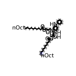 CCCCCCCCC=CCCCCCCCC(=O)OCC(O)CNc1cc(Nc2ccccc2)ccc1NCC(O)COC(=O)CCCCCCC/C=C\CCCCCCCC